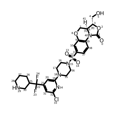 O=C1O[C@@H](CO)[C@@H]2COc3cc(S(=O)(=O)N4CCN(c5cc(C(F)(F)C6CCCNC6)cc(Cl)n5)CC4)ccc3N12